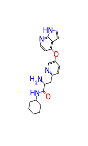 NC(Cc1ccc(Oc2ccnc3[nH]ccc23)cn1)C(=O)NC1CCCCC1